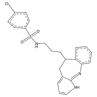 O=S(=O)(NCCCC1CC2=CC=CNC2=Nc2ccccc21)c1ccc(Cl)cc1